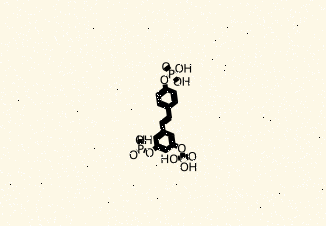 O=[PH](O)Oc1cc(/C=C/c2ccc(OP(=O)(O)O)cc2)cc(OP(=O)(O)O)c1